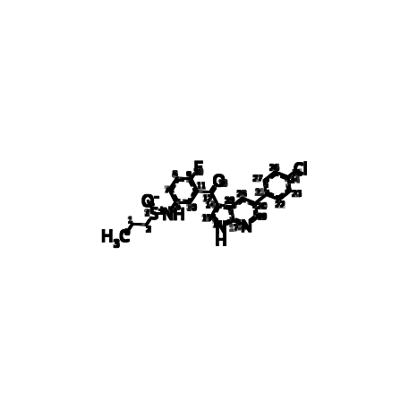 CCC[S+]([O-])Nc1ccc(F)c(C(=O)c2c[nH]c3ncc(-c4ccc(Cl)cc4)cc23)c1